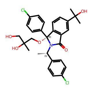 C[C@@H](c1ccc(Cl)cc1)N1C(=O)c2cc(C(C)(C)O)ccc2[C@]1(OCC(C)(O)CO)c1ccc(Cl)cc1